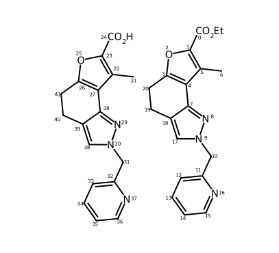 CCOC(=O)c1oc2c(c1C)-c1nn(Cc3ccccn3)cc1CC2.Cc1c(C(=O)O)oc2c1-c1nn(Cc3ccccn3)cc1CC2